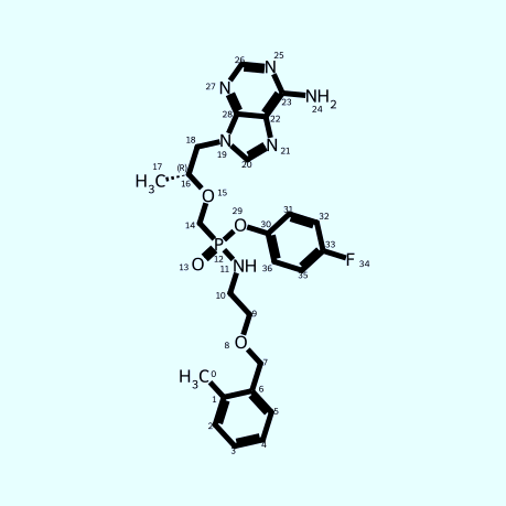 Cc1ccccc1COCCNP(=O)(CO[C@H](C)Cn1cnc2c(N)ncnc21)Oc1ccc(F)cc1